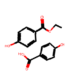 CCOC(=O)c1ccc(O)cc1.O=C(O)c1ccc(O)cc1